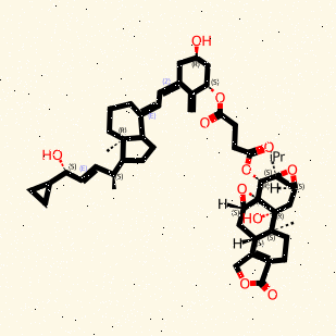 C=C1/C(=C\C=C2/CCC[C@@]3(C)C2CCC3[C@@H](C)/C=C/[C@@H](O)C2CC2)C[C@@H](O)C[C@@H]1OC(=O)CCC(=O)O[C@@H]1[C@@]2(C(C)C)O[C@H]2C[C@]2(O)[C@]13O[C@H]3C[C@H]1C3=C(CC[C@@]12C)C(=O)OC3